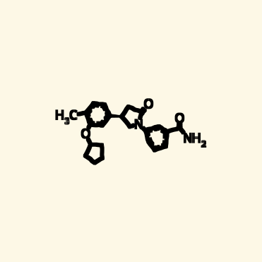 Cc1ccc([C@H]2CC(=O)N(c3cccc(C(N)=O)c3)C2)cc1OC1CCCC1